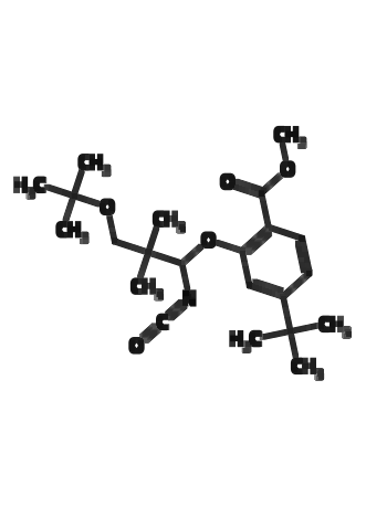 COC(=O)c1ccc(C(C)(C)C)cc1OC(N=C=O)C(C)(C)COC(C)(C)C